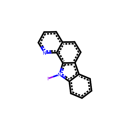 In1c2ccccc2c2ccc3cccnc3c21